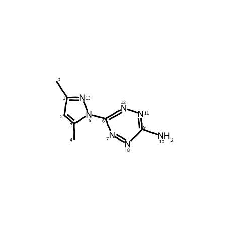 Cc1cc(C)n(-c2nnc(N)nn2)n1